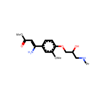 COC(=O)C=C(N)c1ccc(OCC(O)CNC(C)C)c(OC)c1